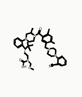 COCN(CC[C@H](c1ccccc1N1CCN(C(=O)c2cc(CN3CCN(c4ccccc4C#N)CC3)c(C)cc2C)C(C)C1)C(C)(C)C)C(=O)O